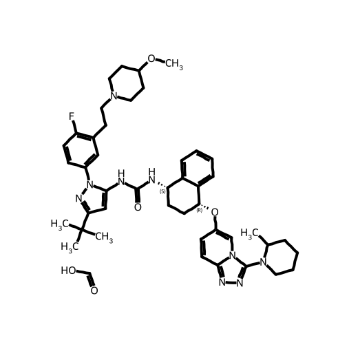 COC1CCN(CCc2cc(-n3nc(C(C)(C)C)cc3NC(=O)N[C@H]3CC[C@@H](Oc4ccc5nnc(N6CCCCC6C)n5c4)c4ccccc43)ccc2F)CC1.O=CO